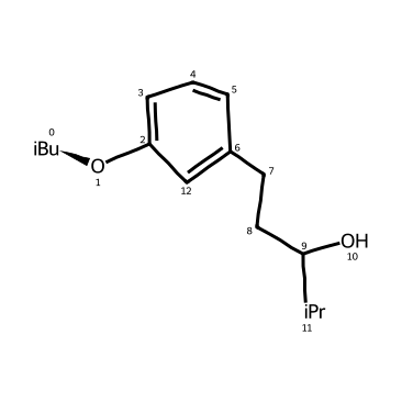 CC[C@H](C)Oc1cccc(CCC(O)C(C)C)c1